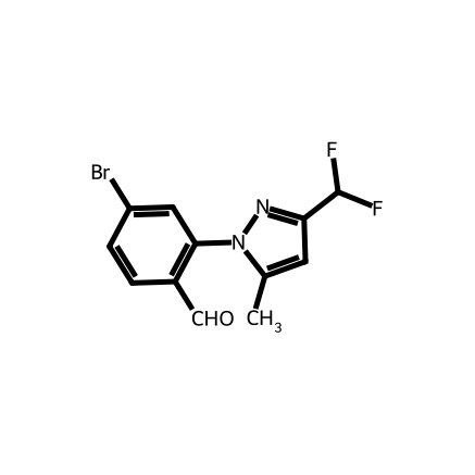 Cc1cc(C(F)F)nn1-c1cc(Br)ccc1C=O